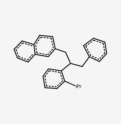 CC(C)c1ccccc1[C](Cc1ccccc1)Cc1ccc2ccccc2c1